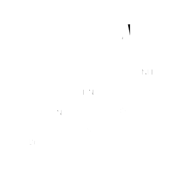 Cc1sc(NC(=O)[C@@H]2C[C@@H](F)CN2)nc1Br